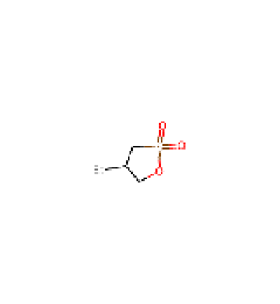 CCC1COS(=O)(=O)C1